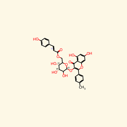 Cc1ccc(-c2oc3cc(O)cc(O)c3c(=O)c2O[C@@H]2OC(COC(=O)/C=C/c3ccc(O)cc3)[C@@H](O)[C@@H](O)C2O)cc1